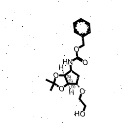 CC1(C)O[C@@H]2[C@@H](OCCO)CC(NC(=O)OCc3ccccc3)[C@@H]2O1